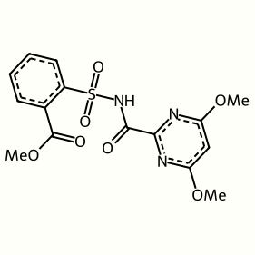 COC(=O)c1ccccc1S(=O)(=O)NC(=O)c1nc(OC)cc(OC)n1